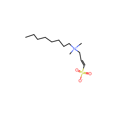 CCCCCCCC[N+](C)(C)CC=CS(=O)(=O)[O-]